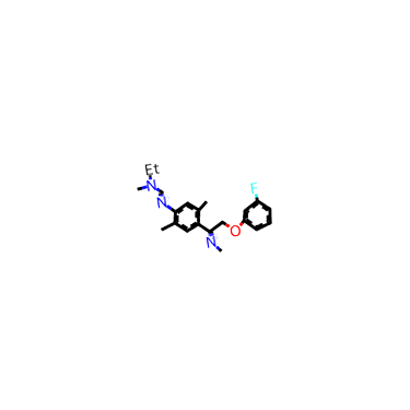 CCN(C)/C=N/c1cc(C)c(/C(COc2cccc(F)c2)=N/C)cc1C